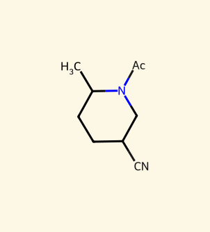 CC(=O)N1CC(C#N)CCC1C